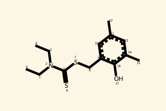 CCN(CC)C(=S)SCc1cc(C)cc(C)c1O